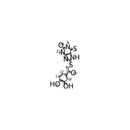 Cn1c(=S)c2[nH]c(SCC(=O)c3ccc(O)c(O)c3)nc2n(C)c1=O